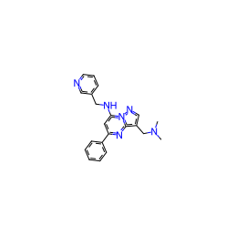 CN(C)Cc1cnn2c(NCc3cccnc3)cc(-c3ccccc3)nc12